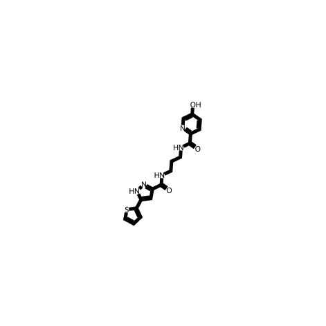 O=C(NCCCNC(=O)c1cc(-c2cccs2)[nH]n1)c1ccc(O)cn1